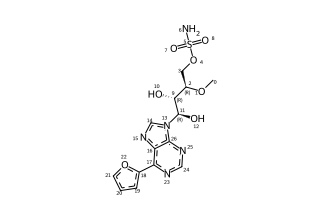 CO[C@H](COS(N)(=O)=O)[C@@H](O)[C@@H](O)n1cnc2c(-c3ccco3)ncnc21